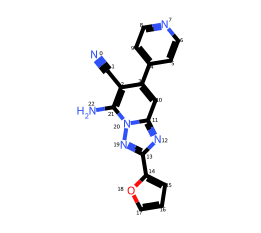 N#Cc1c(-c2ccncc2)cc2nc(-c3ccco3)nn2c1N